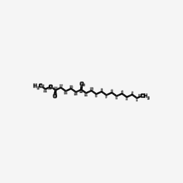 CCCCCCCCCCCCC(=O)CCCCC(=O)OCC